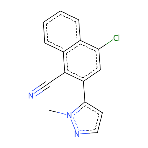 Cn1nccc1-c1cc(Cl)c2ccccc2c1C#N